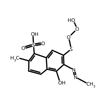 CN=Nc1c(SOOO)cc2c(S(=O)(=O)O)c(C)ccc2c1O